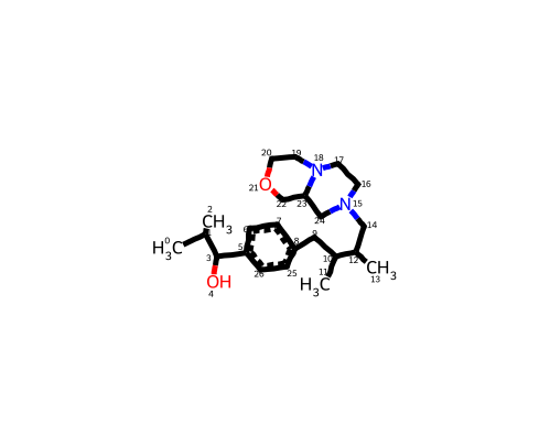 CC(C)C(O)c1ccc(CC(C)C(C)CN2CCN3CCOCC3C2)cc1